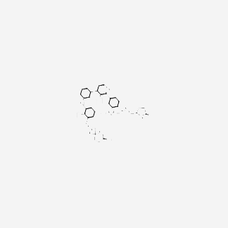 COc1cc(-c2nccc(-c3cccc(Nc4cccc(CN5CC6(CCC(=O)N6)C5)c4F)c3Cl)c2Cl)ccc1CNCC1CCC(=O)N1